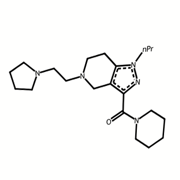 CCCn1nc(C(=O)N2CCCCC2)c2c1CCN(CCN1CCCC1)C2